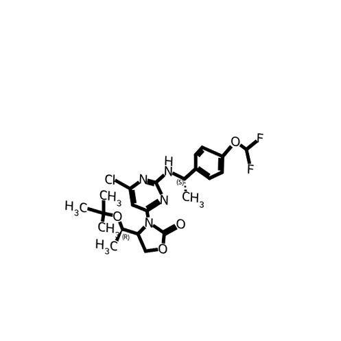 C[C@H](Nc1nc(Cl)cc(N2C(=O)OCC2[C@@H](C)OC(C)(C)C)n1)c1ccc(OC(F)F)cc1